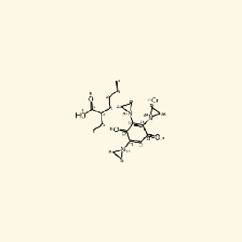 CCCCC(CC)C(=O)O.O=C1C=C(N2CC2)C(=O)C(N2CC2)=C1N1CC1.[Cr]